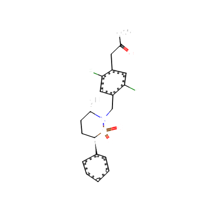 COC(=O)Cc1cc(F)c(CN2[C@@H](C)CC[C@H](c3ccccc3)S2(=O)=O)cc1F